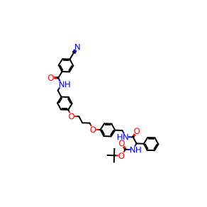 CC(C)(C)OC(=O)NC(C(=O)NCc1ccc(OCCCOc2ccc(CNC(=O)c3ccc(C#N)cc3)cc2)cc1)c1ccccc1